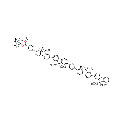 CCCCCCCCC1(CCCCCCCC)c2ccccc2-c2ccc(-c3ccc4c(c3)C(C)(C)c3cc(-c5ccc(-c6ccc7c(c6)C(CCCCCCCC)(CCCCCCCC)c6cc(-c8ccc9c(c8)C(C)(C)c8cc(-c%10ccc(B%11OC(C)(C)C(C)(C)O%11)cc%10)ccc8-9)ccc6-7)cc5)ccc3-4)cc21